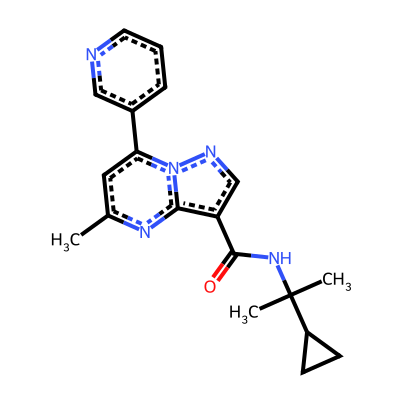 Cc1cc(-c2cccnc2)n2ncc(C(=O)NC(C)(C)C3CC3)c2n1